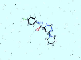 O=C(Nc1ccc(F)cc1)c1cc(N2CCCCC2)ncn1